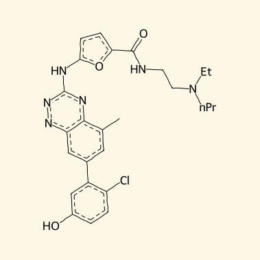 CCCN(CC)CCNC(=O)c1ccc(Nc2nnc3cc(-c4cc(O)ccc4Cl)cc(C)c3n2)o1